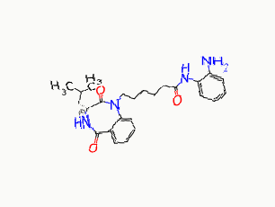 CC(C)C[C@H]1NC(=O)c2ccccc2N(CCCCCC(=O)Nc2ccccc2N)C1=O